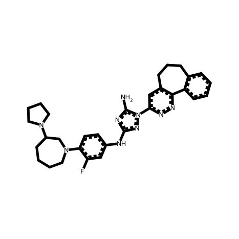 Nc1nc(Nc2ccc(N3CCCCC(N4CCCC4)C3)c(F)c2)nn1-c1cc2c(nn1)-c1ccccc1CCC2